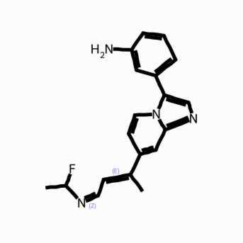 C/C(=C\C=N/C(C)F)c1ccn2c(-c3cccc(N)c3)cnc2c1